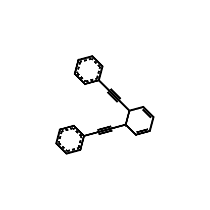 C(#Cc1ccccc1)[C]1C=CC=CC1C#Cc1ccccc1